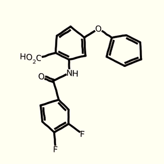 O=C(Nc1cc(Oc2ccccc2)ccc1C(=O)O)c1ccc(F)c(F)c1